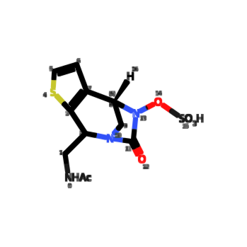 CC(=O)NCC1c2sccc2[C@H]2CN1C(=O)N2OS(=O)(=O)O